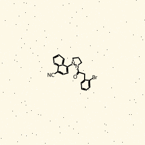 N#Cc1ccc(N2CCCN2C(=O)Cc2ccccc2Br)c2ccccc12